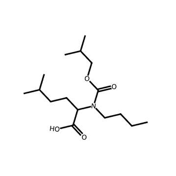 CCCCN(C(=O)OCC(C)C)C(CCC(C)C)C(=O)O